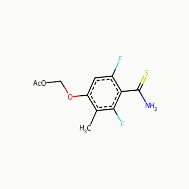 CC(=O)OCOc1cc(F)c(C(N)=S)c(F)c1C